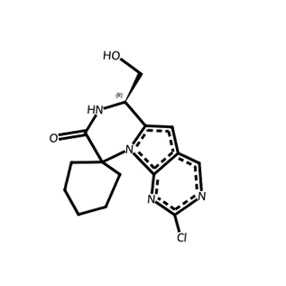 O=C1N[C@@H](CO)c2cc3cnc(Cl)nc3n2C12CCCCC2